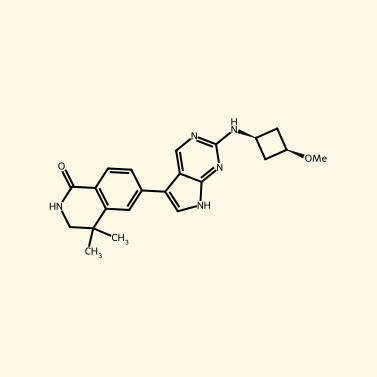 CO[C@H]1C[C@@H](Nc2ncc3c(-c4ccc5c(c4)C(C)(C)CNC5=O)c[nH]c3n2)C1